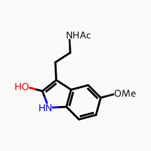 COc1ccc2[nH]c(O)c(CCNC(C)=O)c2c1